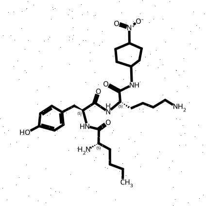 CCCC[C@H](N)C(=O)N[C@@H](Cc1ccc(O)cc1)C(=O)N[C@@H](CCCCN)C(=O)NC1CCC([N+](=O)[O-])CC1